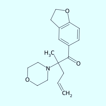 C=CCC(C)(C(=O)c1ccc2c(c1)CCO2)N1CCOCC1